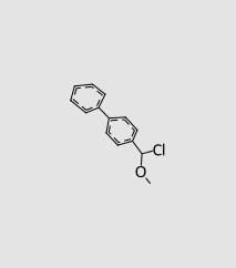 COC(Cl)c1ccc(-c2ccccc2)cc1